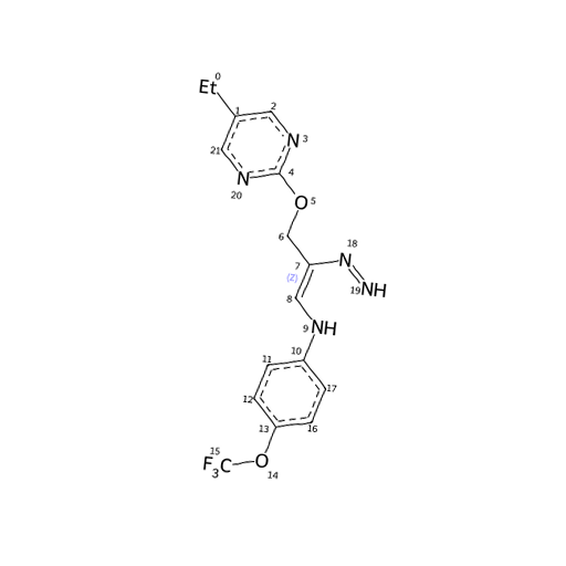 CCc1cnc(OC/C(=C/Nc2ccc(OC(F)(F)F)cc2)N=N)nc1